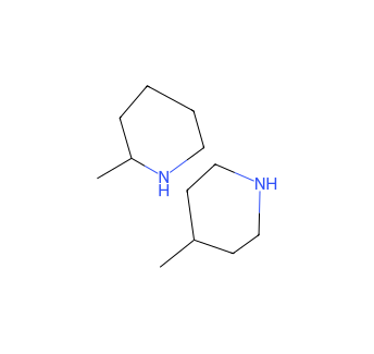 CC1CCCCN1.CC1CCNCC1